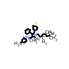 C=C(C)CC(C)CC(C)CCn1c(-c2ccc(F)cc2)c(C2=CC=CCC2)c(C(=C)NC2=CCC(C)C=C2)c1C(C)C